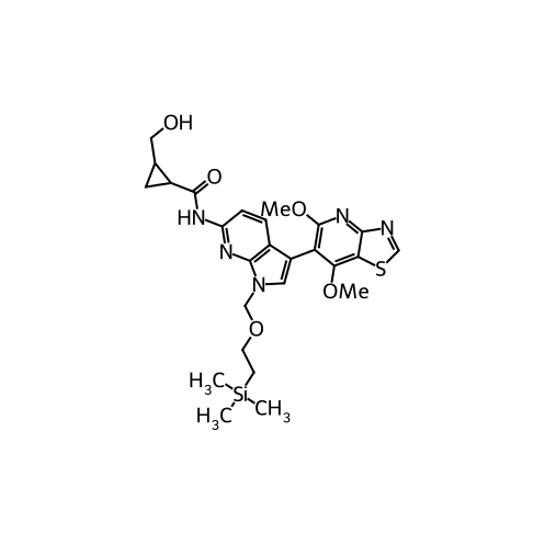 COc1nc2ncsc2c(OC)c1-c1cn(COCC[Si](C)(C)C)c2nc(NC(=O)C3CC3CO)ccc12